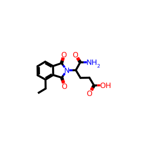 CCc1cccc2c1C(=O)N(C(CCC(=O)O)C(N)=O)C2=O